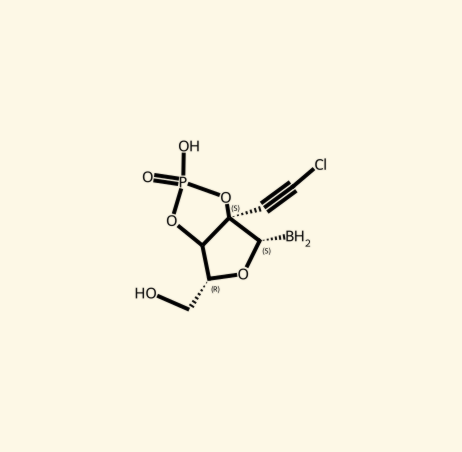 B[C@@H]1O[C@H](CO)C2OP(=O)(O)O[C@]21C#CCl